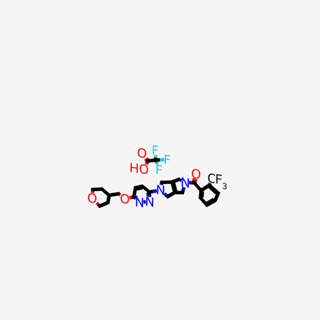 O=C(O)C(F)(F)F.O=C(c1ccccc1C(F)(F)F)N1CC2=C(C1)CN(c1ccc(OCC3CCOCC3)nn1)C2